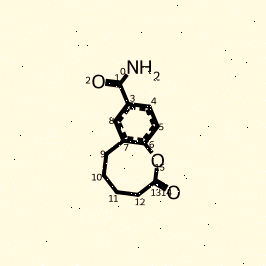 NC(=O)c1ccc2c(c1)CCCCC(=O)O2